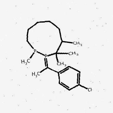 CC(c1ccc(Cl)cc1)=[P]1P(C)CCCCCC(C)C1(C)C